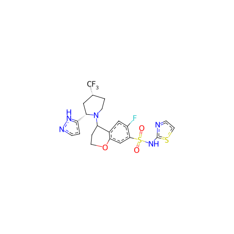 O=S(=O)(Nc1nccs1)c1cc2c(cc1F)C(N1CC[C@@H](C(F)(F)F)C[C@H]1c1ccn[nH]1)CCO2